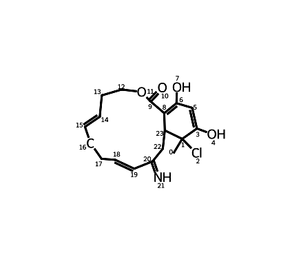 CC1(Cl)C(O)=CC(O)=C2C(=O)OCC/C=C/CC/C=C/C(=N)CC21